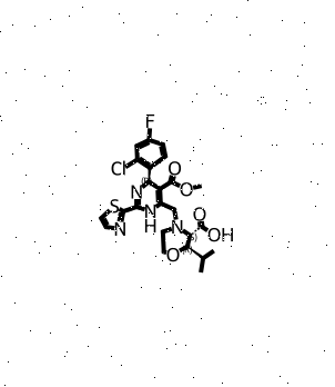 COC(=O)C1=C(CN2CCO[C@H](C(C)C)[C@H]2C(=O)O)NC(c2nccs2)=N[C@H]1c1ccc(F)cc1Cl